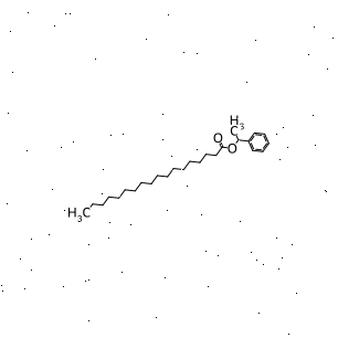 CCCCCCCCCCCCCCCCCC(=O)OC(C)c1ccccc1